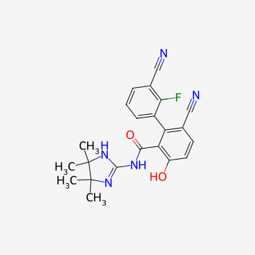 CC1(C)N=C(NC(=O)c2c(O)ccc(C#N)c2-c2cccc(C#N)c2F)NC1(C)C